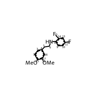 COc1ccc(CCNc2ccc(F)cc2F)cc1OC